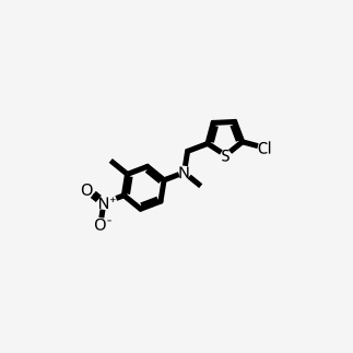 Cc1cc(N(C)Cc2ccc(Cl)s2)ccc1[N+](=O)[O-]